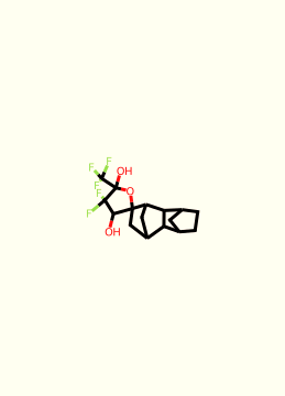 OC1C2(CC3CC2C2C4CCC(C4)C32)OC(O)(C(F)(F)F)C1(F)F